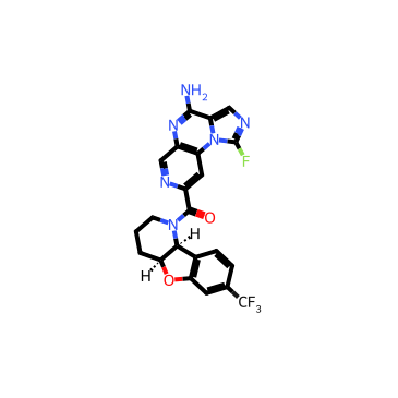 Nc1nc2cnc(C(=O)N3CCC[C@@H]4Oc5cc(C(F)(F)F)ccc5[C@@H]43)cc2n2c(F)ncc12